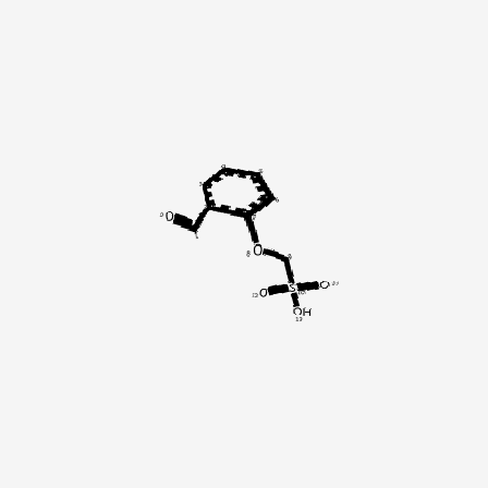 O=Cc1ccccc1OCS(=O)(=O)O